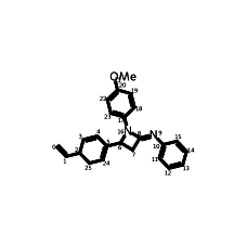 C=CC1C=CC(C2C/C(=N\c3ccccc3)N2c2ccc(OC)cc2)=CC1